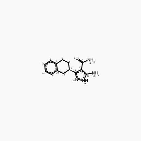 NC(=O)c1c([C@@H]2CCc3ccccc3C2)n[nH]c1N